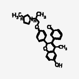 CC1=C(c2cccc(Cl)c2)C(c2ccc(OC[C@H](C)N3CC[C@@H](C)C3)cc2)Oc2ccc(O)cc21